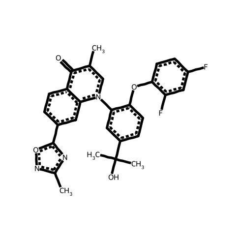 Cc1noc(-c2ccc3c(=O)c(C)cn(-c4cc(C(C)(C)O)ccc4Oc4ccc(F)cc4F)c3c2)n1